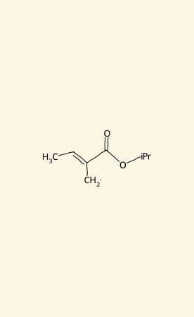 [CH2]/C(=C\C)C(=O)OC(C)C